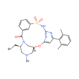 Cc1cccc(C)c1-c1cc2nc(n1)NS(=O)(=O)c1cccc(c1)C(=O)N1C[C@@H](CN(C(C)C)C[C@H]1CC(C)C)O2